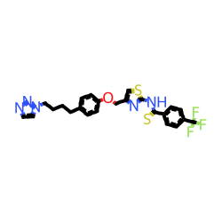 FC(F)(F)c1ccc(C(=S)Nc2nc(COc3ccc(CCCCn4ccnn4)cc3)cs2)cc1